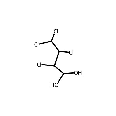 OC(O)C(Cl)C(Cl)C(Cl)Cl